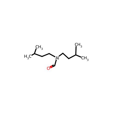 CC(C)C[CH2][Al]([CH]=O)[CH2]CC(C)C